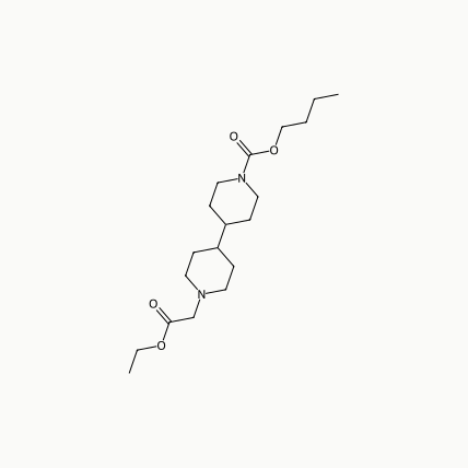 CCCCOC(=O)N1CCC(C2CCN(CC(=O)OCC)CC2)CC1